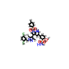 CNS(=O)(=O)c1cc(-c2cnc3c(c2)c(-c2c(C)nn(Cc4cc(F)ccc4F)c2C)cn3S(=O)(=O)c2ccc(C)cc2)ccc1OC